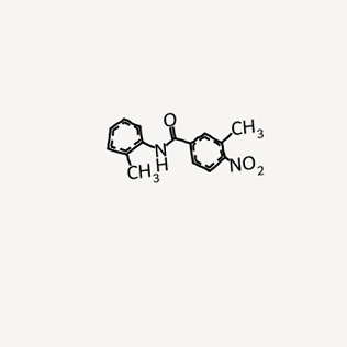 Cc1ccccc1NC(=O)c1ccc([N+](=O)[O-])c(C)c1